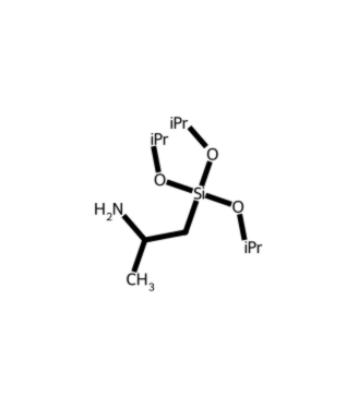 CC(N)C[Si](OC(C)C)(OC(C)C)OC(C)C